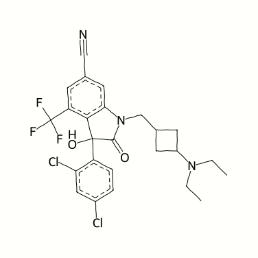 CCN(CC)C1CC(CN2C(=O)C(O)(c3ccc(Cl)cc3Cl)c3c2cc(C#N)cc3C(F)(F)F)C1